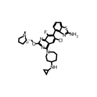 CN1CCC[C@H]1COc1nc(N2CCCC(NC3CC3)CC2)c2cc(Cl)c(-c3cccc4sc(N)nc34)c(F)c2n1